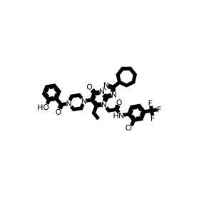 CCc1c(N2CCN(C(=O)c3ccccc3O)CC2)c(=O)n2nc(C3CCCCCC3)nc2n1CC(=O)Nc1ccc(C(F)(F)F)cc1Cl